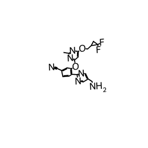 Cc1nc(OCC2CC2(F)F)cc(Oc2cc(C#N)ccc2-c2ncc(CN)cn2)n1